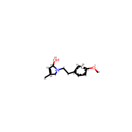 COc1ccc(CCN2CC(C)=CC2O)cc1